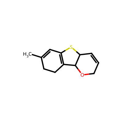 CC1=CC2=C(CC1)C1OCC=CC1S2